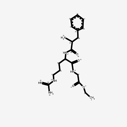 CCOC(=O)CNC(=O)C(CCCNC(=N)N)NC(=O)C(N)Cc1ccccc1